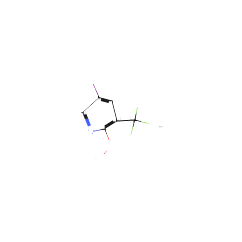 COc1ncc(I)cc1C(F)(F)F